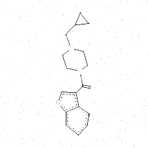 O=C(c1c[nH]c2ccccc12)N1CCN(CC2CC2)CC1